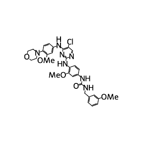 COc1cccc(CNC(=O)Nc2ccc(Nc3ncc(Cl)c(Nc4ccc(N5CCOCC5)c(OC)c4)n3)c(OC)c2)c1